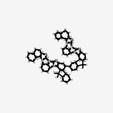 CC1(C)c2ccc(-c3cc4nc5n(c6cccc7c6n5c5nc6ccc8ccccc8c6n75)c4c4c3-c3ccccc3C4(C)C)cc2-c2c1ccc1nc3n(c4cccc5c4n3c3nc4ccc6ccccc6c4n53)c21